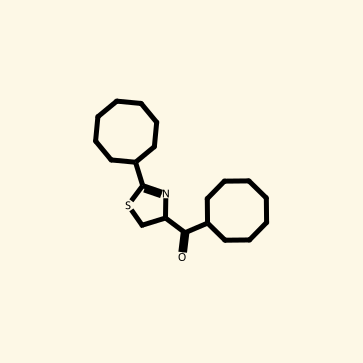 O=C(C1CCCCCCC1)C1CSC(C2CCCCCCC2)=N1